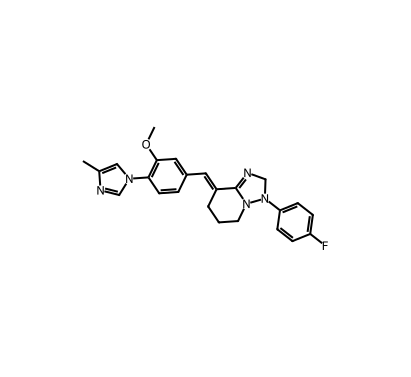 COc1cc(/C=C2\CCCN3C2=NCN3c2ccc(F)cc2)ccc1-n1cnc(C)c1